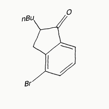 CCCCC1Cc2c(Br)cccc2C1=O